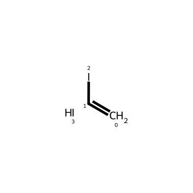 C=CI.I